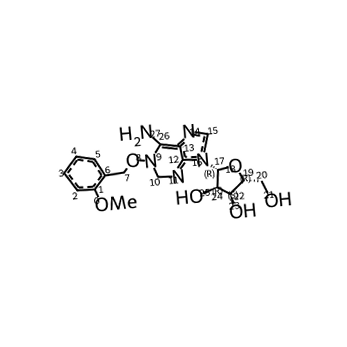 COc1ccccc1CON1CN=c2c(ncn2[C@@H]2O[C@H](CO)[C@@H](O)[C@H]2O)=C1N